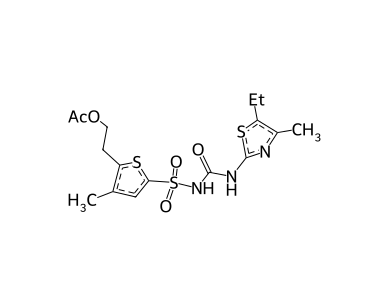 CCc1sc(NC(=O)NS(=O)(=O)c2cc(C)c(CCOC(C)=O)s2)nc1C